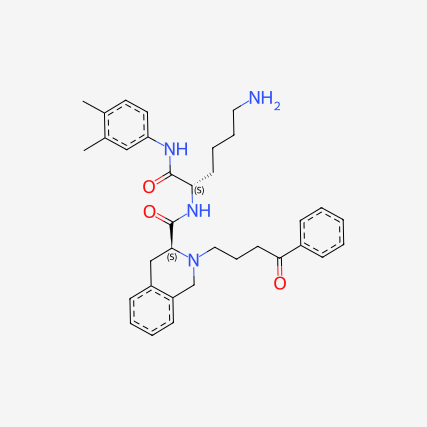 Cc1ccc(NC(=O)[C@H](CCCCN)NC(=O)[C@@H]2Cc3ccccc3CN2CCCC(=O)c2ccccc2)cc1C